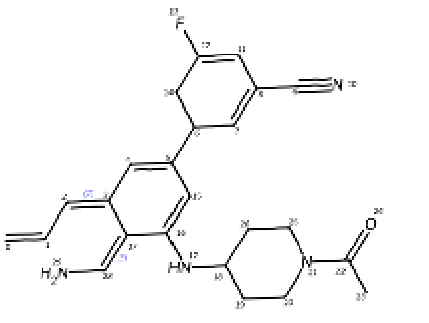 C=C/C=c1/cc(C2C=C(C#N)C=C(F)C2)cc(NC2CCN(C(C)=O)CC2)/c1=C/N